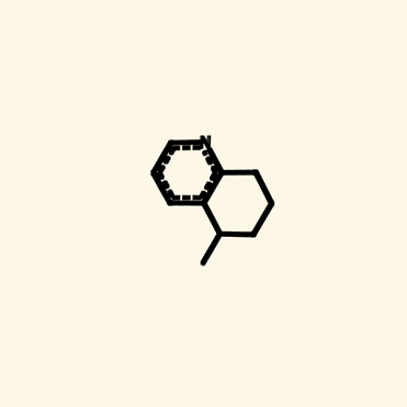 CC1CCCc2ncccc21